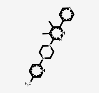 Cc1c(-c2ccncc2)nnc(N2CCN(c3ccc(C(F)(F)F)cn3)CC2)c1C